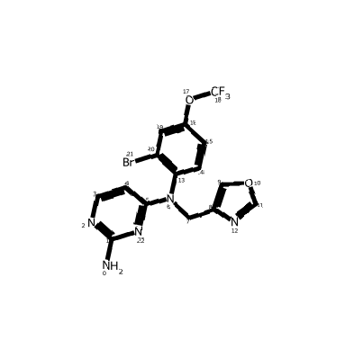 Nc1nccc(N(Cc2cocn2)c2ccc(OC(F)(F)F)cc2Br)n1